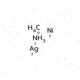 C.N.[Ag].[Ni]